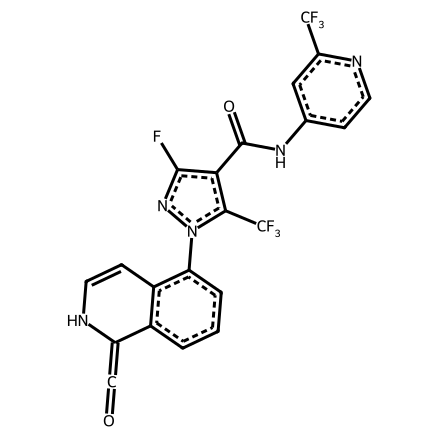 O=C=C1NC=Cc2c1cccc2-n1nc(F)c(C(=O)Nc2ccnc(C(F)(F)F)c2)c1C(F)(F)F